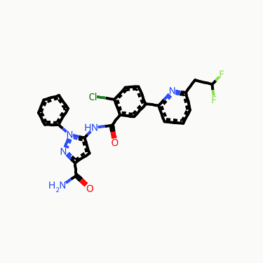 NC(=O)c1cc(NC(=O)c2cc(-c3cccc(CC(F)F)n3)ccc2Cl)n(-c2ccccc2)n1